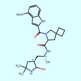 COc1cccc2[nH]c(C(=O)N3CC4(CCC4)CC3C(=O)N[C@H](C#N)C[C@@H]3CC(C)(C)NC3O)cc12